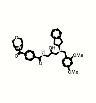 COc1ccc(CN(CC(O)CNC(=O)c2ccc(C(=O)N3C4CCC3COC4)cc2)C2Cc3ccccc3C2)c(OC)c1